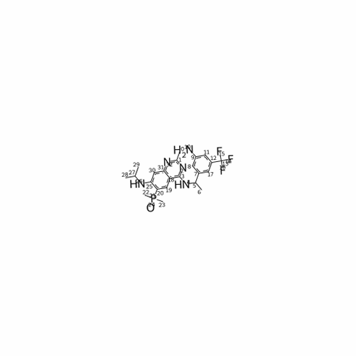 Cc1nc(NC(C)c2cc(N)cc(C(F)(F)F)c2)c2cc(P(C)(C)=O)c(NC(C)C)cc2n1